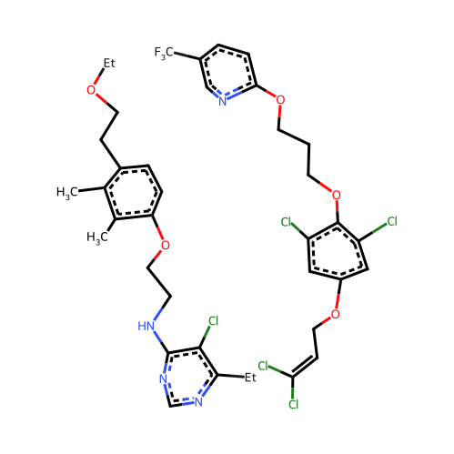 CCOCCc1ccc(OCCNc2ncnc(CC)c2Cl)c(C)c1C.FC(F)(F)c1ccc(OCCCOc2c(Cl)cc(OCC=C(Cl)Cl)cc2Cl)nc1